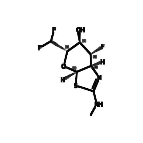 CNC1=N[C@@H]2[C@@H](F)[C@H](O)[C@@H](C(F)F)O[C@@H]2S1